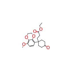 CCOC(=O)CCC1(c2ccc(OC)c3c2OCCO3)CCC(=O)CC1